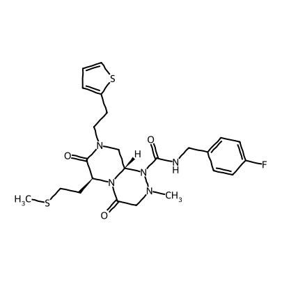 CSCC[C@H]1C(=O)N(CCc2cccs2)C[C@H]2N1C(=O)CN(C)N2C(=O)NCc1ccc(F)cc1